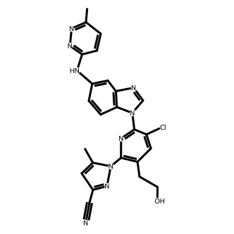 Cc1ccc(Nc2ccc3c(c2)ncn3-c2nc(-n3nc(C#N)cc3C)c(CCO)cc2Cl)nn1